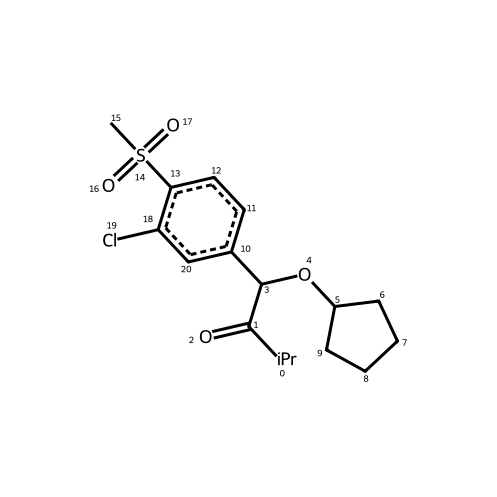 CC(C)C(=O)C(OC1CCCC1)c1ccc(S(C)(=O)=O)c(Cl)c1